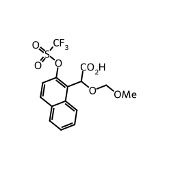 COCOC(C(=O)O)c1c(OS(=O)(=O)C(F)(F)F)ccc2ccccc12